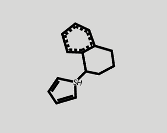 C1=C[SH](C2CCCc3ccccc32)C=C1